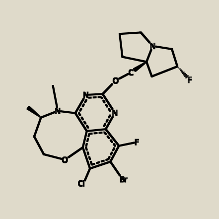 C[C@@H]1CCOc2c(Cl)c(Br)c(F)c3nc(OC[C@@]45CCCN4C[C@H](F)C5)nc(c23)N1C